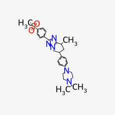 CC1CC(c2ccc(N3CCN(C(C)C)CC3)cc2)Cn2nc(-c3ccc(S(C)(=O)=O)cc3)nc21